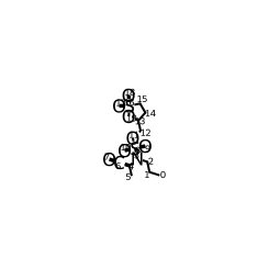 CCCN(C(C)=C=O)S(=O)(=O)OCC1CCS(=O)(=O)O1